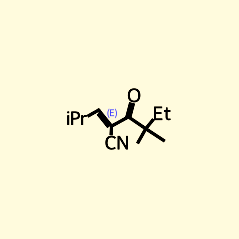 CCC(C)(C)C(=O)/C(C#N)=C/C(C)C